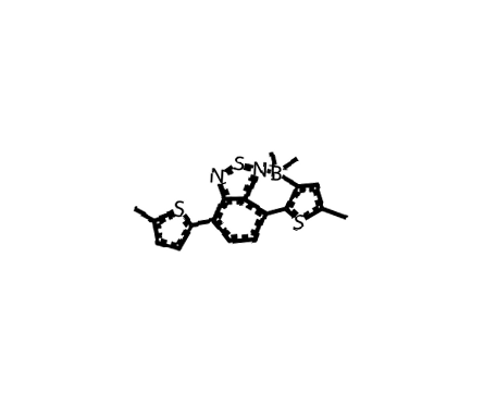 Cc1ccc(-c2ccc3c4c2ns[n+]4[B-](C)(C)c2cc(C)sc2-3)s1